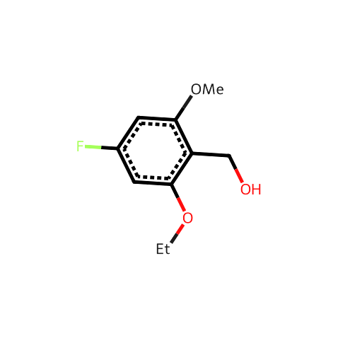 CCOc1cc(F)cc(OC)c1CO